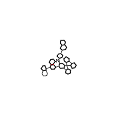 c1ccc(N(c2ccc(-c3ccc4ccccc4c3)cc2)c2cc3c(cc2-c2ccc(-c4cccc5c4CCCC5)cc2)-c2ccccc2C32c3ccccc3-c3ccccc32)cc1